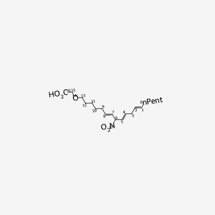 CCCCC/C=C/C/C=C/C(/C=C/CCCCCOCC(=O)O)[N+](=O)[O-]